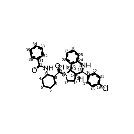 O=C(N[C@@H]1CCCC[C@@H]1C(=O)N1CC[C@@H]2[C@H](c3ccc(Cl)cc3)Nc3ccccc3[C@@H]21)c1ccccc1